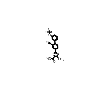 Cc1nc(-c2ccc(-c3cccc(OC(F)(F)F)c3)c(C#N)c2)sc1C(=O)O